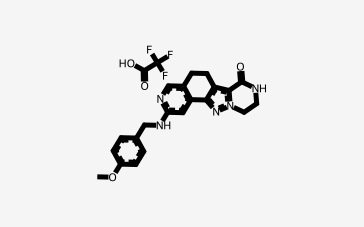 COc1ccc(CNc2cc3c(cn2)CCc2c-3nn3c2C(=O)NCC3)cc1.O=C(O)C(F)(F)F